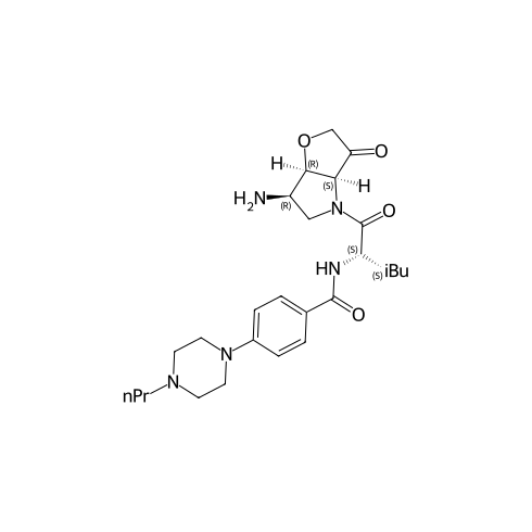 CCCN1CCN(c2ccc(C(=O)N[C@H](C(=O)N3C[C@@H](N)[C@H]4OCC(=O)[C@H]43)[C@@H](C)CC)cc2)CC1